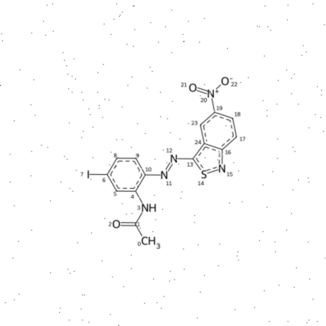 CC(=O)Nc1cc(I)ccc1/N=N/c1snc2ccc([N+](=O)[O-])cc12